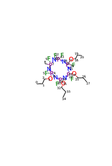 CCCOP1(F)=NP(C)(F)=NP(F)(F)=NP(F)(OCCC)=NP(F)(OCCC)=NP(F)(OCCC)=N1